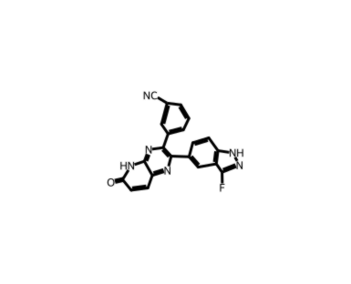 N#Cc1cccc(-c2nc3[nH]c(=O)ccc3nc2-c2ccc3[nH]nc(F)c3c2)c1